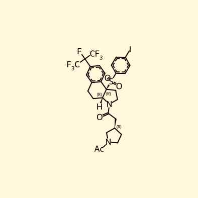 CC(=O)N1CC[C@H](CC(=O)N2CC[C@@]3(S(=O)(=O)c4ccc(I)cc4)c4ccc(C(F)(C(F)(F)F)C(F)(F)F)cc4CC[C@@H]23)C1